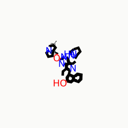 CCc1c(-c2cc(O)cc3ccccc23)nc(C)c2c(N3CC4CCC(C3)N4)nc(OC[C@@]34CCCN3C[C@H](C)C4)nc12